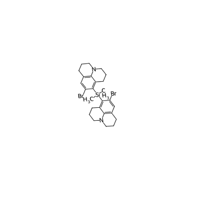 C[Si](C)(c1c(Br)cc2c3c1CCCN3CCC2)c1c(Br)cc2c3c1CCCN3CCC2